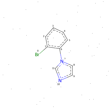 Brc1c[c]ccc1-n1ccnc1